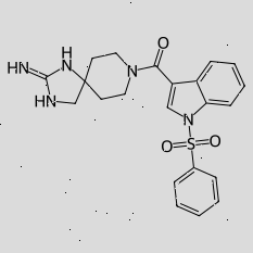 N=C1NCC2(CCN(C(=O)c3cn(S(=O)(=O)c4ccccc4)c4ccccc34)CC2)N1